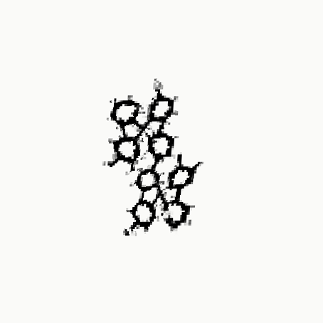 Cc1cc2c(cc1C)[C@@]1(c3ccc(Br)cc3-c3ccc(-c4ccc5c(c4)[C@@]4(c6cc(Br)ccc6-5)c5cc(C)c(C)cc5-c5cccnc54)cc31)c1ncccc1-2